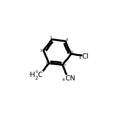 [CH2]c1cccc(Cl)c1C#N